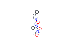 C[C@@H]1CN(C(=O)c2nn(CC(=O)N3CCC(C)(c4ccccc4)CC3)c3c2CCC3)C[C@H](C)O1